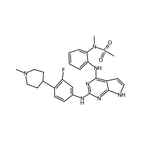 CN1CCC(c2ccc(Nc3nc(Nc4ccccc4N(C)S(C)(=O)=O)c4cc[nH]c4n3)cc2F)CC1